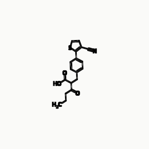 CCCC(=O)C(Cc1ccc(-c2sccc2C#N)cc1)C(=O)O